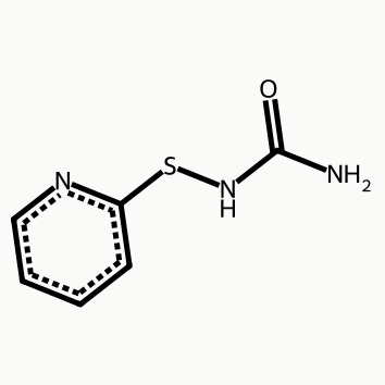 NC(=O)NSc1ccccn1